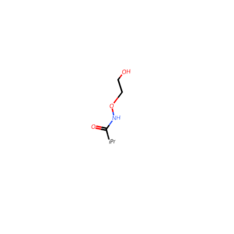 CC(C)C(=O)NOCCO